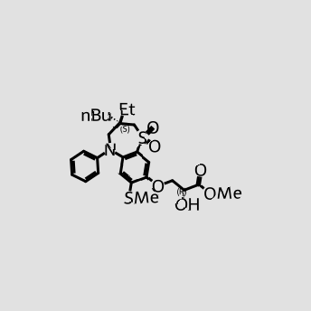 CCCC[C@@]1(CC)CN(c2ccccc2)c2cc(SC)c(OC[C@@H](O)C(=O)OC)cc2S(=O)(=O)C1